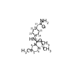 CC(C)[C@@H]1CC[C@@H](C)C[C@H]1C(=O)Nc1ccc(CC(N)=O)cc1